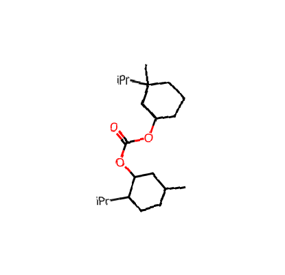 CC1CCC(C(C)C)C(OC(=O)OC2CCCC(C)(C(C)C)C2)C1